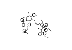 CCOC(=O)C(C/C(C)=C/Cc1c(OC)c(C)c2c(c1OCC[Si](C)(C)C)C(=O)OC2)P(=O)(OCC)OCC